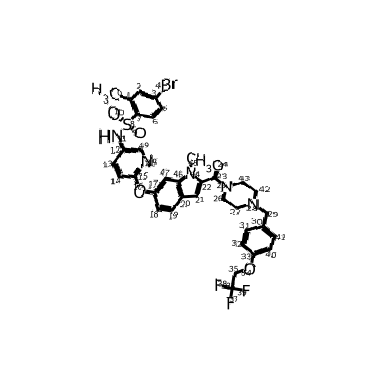 Cc1cc(Br)ccc1S(=O)(=O)Nc1ccc(Oc2ccc3cc(C(=O)N4CCN(Cc5ccc(OCC(F)(F)F)cc5)CC4)n(C)c3c2)nc1